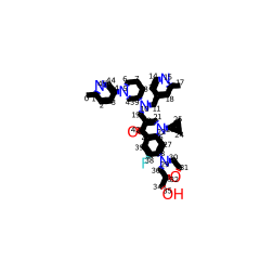 Cc1ccc(N2CCCC(N(Cc3ccnc(C)c3)Cc3cn(C4CC4)c4cc(N5CCOC(CO)C5)c(F)cc4c3=O)C2)cn1